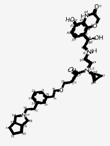 O=C1COc2c([C@@H](O)CNCCN(C(=O)CCOCCc3cccc(CCN4CC5CCCC5C4)c3)C3CC3)ccc(O)c2N1